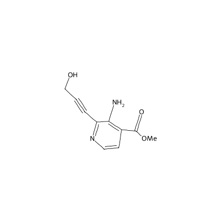 COC(=O)c1ccnc(C#CCO)c1N